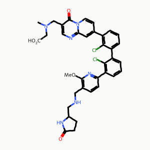 COc1nc(-c2cccc(-c3cccc(-c4ccn5c(=O)c(CN(C)CC(=O)O)cnc5c4)c3Cl)c2Cl)ccc1CNCC1CCC(=O)N1